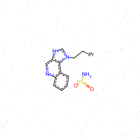 CC(C)CCn1cnc2cnc3ccccc3c21.N[SH](=O)=O